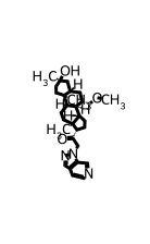 COC[C@H]1C[C@H]2C[C@](C)(O)CC[C@]2(C)[C@H]2CC[C@]3(C)[C@@H](C(=O)Cn4ncc5ccncc54)CC[C@H]3[C@H]12